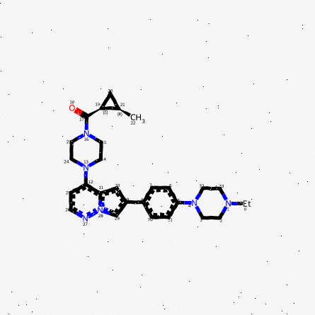 CCN1CCN(c2ccc(-c3cc4c(N5CCN(C(=O)[C@H]6C[C@H]6C)CC5)ccnn4c3)cc2)CC1